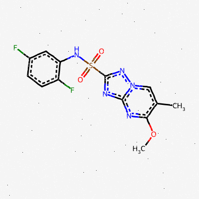 COc1nc2nc(S(=O)(=O)Nc3cc(F)ccc3F)nn2cc1C